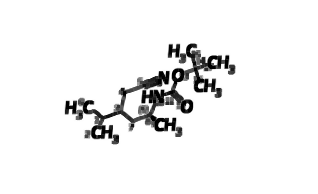 CC(C)C(CC#N)C[C@H](C)NC(=O)OC(C)(C)C